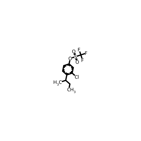 CCC(C)c1ccc(OS(=O)(=O)C(F)(F)F)cc1Cl